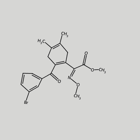 CO/N=C(\C(=O)OC)C1=C(C(=O)c2cccc(Br)c2)CC(C)=C(C)C1